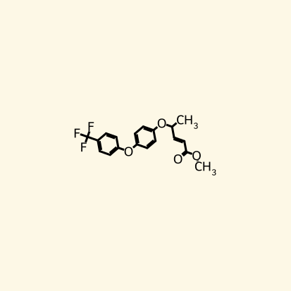 COC(=O)/C=C/C(C)Oc1ccc(Oc2ccc(C(F)(F)F)cc2)cc1